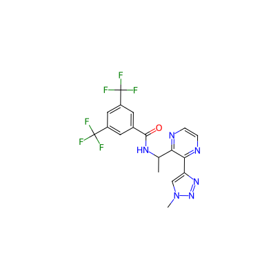 CC(NC(=O)c1cc(C(F)(F)F)cc(C(F)(F)F)c1)c1nccnc1-c1cn(C)nn1